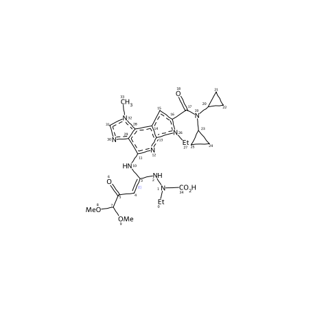 CCN(N/C(=C/C(=O)C(OC)OC)Nc1nc2c(cc(C(=O)N(C3CC3)C3CC3)n2CC)c2c1ncn2C)C(=O)O